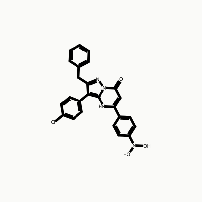 O=c1cc(-c2ccc(N(O)O)cc2)[nH]c2c(-c3ccc(Cl)cc3)c(Cc3ccccc3)nn12